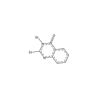 CCc1nc2ccccc2c(=O)n1CC